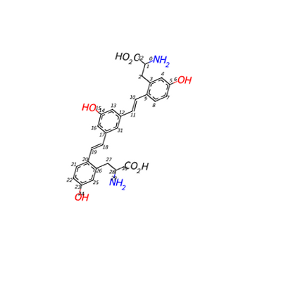 NC(Cc1cc(O)ccc1/C=C/c1cc(O)cc(/C=C/c2ccc(O)cc2CC(N)C(=O)O)c1)C(=O)O